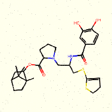 CC1(C)C2CCC1(C)C(OC(=O)C1CCCN1CC(CSC1=CCCS1)NC(=O)c1ccc(O)c(O)c1)C2